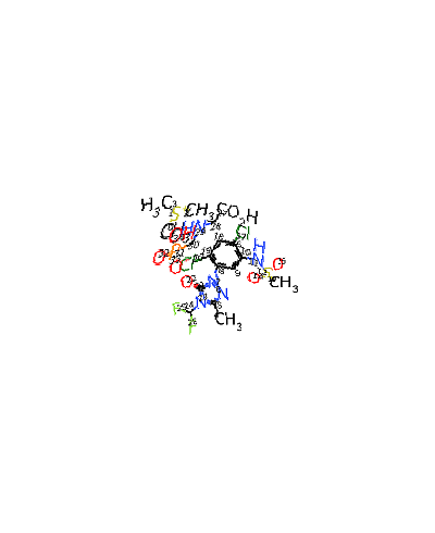 C[S+](C)C.Cc1nn(-c2cc(NS(C)(=O)=O)c(Cl)cc2Cl)c(=O)n1C(F)F.O=C(O)CNCP(=O)([O-])O